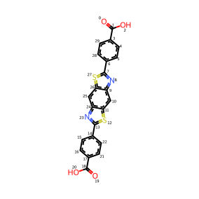 O=C(O)c1ccc(-c2nc3cc4sc(-c5ccc(C(=O)O)cc5)nc4cc3s2)cc1